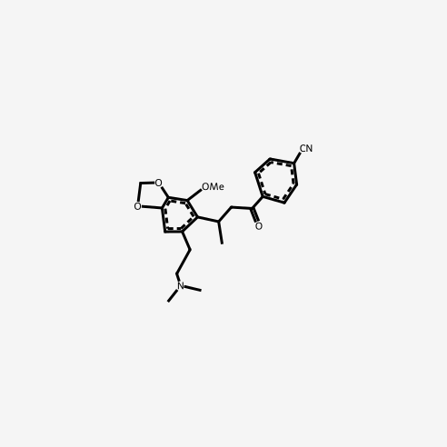 COc1c2c(cc(CCN(C)C)c1C(C)CC(=O)c1ccc(C#N)cc1)OCO2